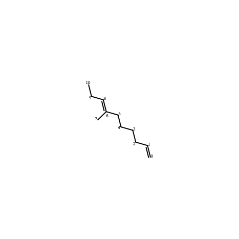 C=CCCCC/C(C)=C/CC